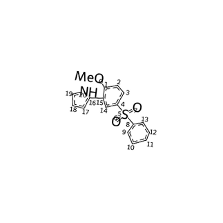 COc1ccc(S(=O)(=O)c2ccccc2)cc1-c1ccc[nH]1